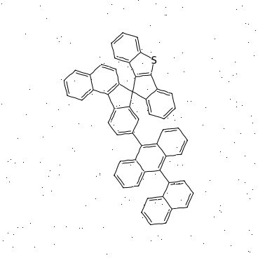 c1ccc2c(c1)-c1sc3ccccc3c1C21c2cc(-c3c4ccccc4c(-c4cccc5ccccc45)c4ccccc34)ccc2-c2c1ccc1ccccc21